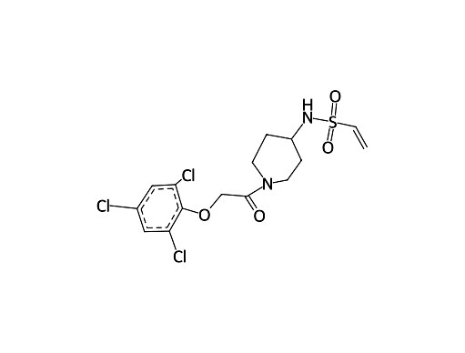 C=CS(=O)(=O)NC1CCN(C(=O)COc2c(Cl)cc(Cl)cc2Cl)CC1